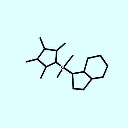 CC1C(C)C(C)C([Si](C)(C)C2CCC3CCCCC32)C1C